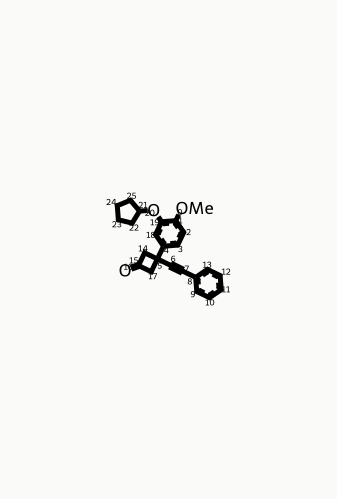 COc1ccc(C2(C#Cc3ccccc3)CC(=O)C2)cc1OC1CCCC1